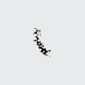 CCNC(=O)NCCNc1nn2cc(-c3cnc(N)c(C(F)(F)F)c3)nc2s1